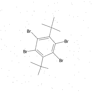 CC(C)(C)c1c(Br)c(Br)c(C(C)(C)C)c(Br)c1Br